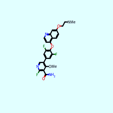 CNCCOc1ccc2c(Oc3c(F)cc(-c4cnc(F)c(C(N)=O)c4OC)cc3F)ccnc2c1